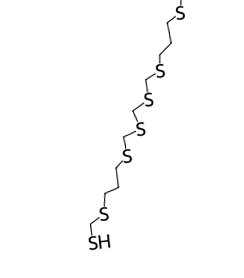 CSCCCSCSCSCSCCCSCS